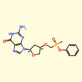 CP(=O)(CO[C@H]1CO[C@@H](n2cnc3c(=O)[nH]c(N)nc32)C1)Oc1ccccc1